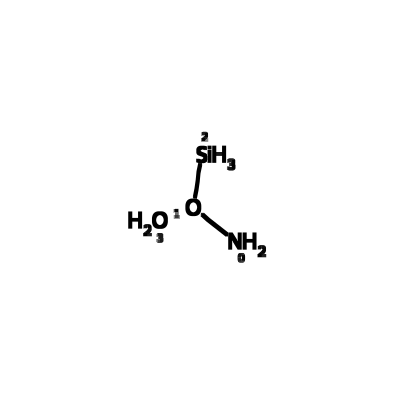 NO[SiH3].O